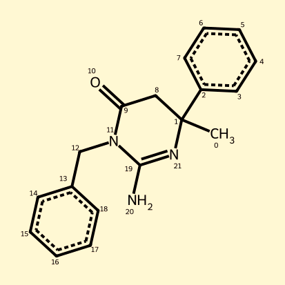 CC1(c2ccccc2)CC(=O)N(Cc2ccccc2)C(N)=N1